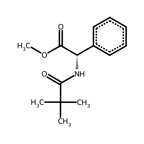 COC(=O)[C@@H](NC(=O)C(C)(C)C)c1ccccc1